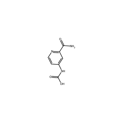 NC(=O)c1cc(NC(=O)O)ccn1